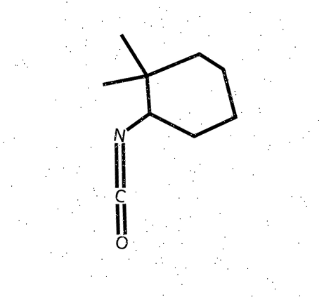 CC1(C)CCCCC1N=C=O